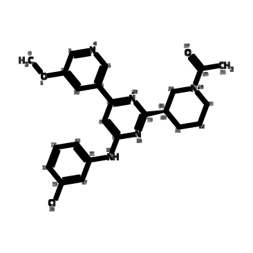 COc1cncc(-c2cc(Nc3cccc(Cl)c3)nc([C@@H]3CCCN(C(C)=O)C3)n2)c1